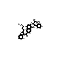 CCCCc1oc2ccccc2c1C(=O)c1ccc2c(Br)c(OC(Cc3ccccc3)C(=O)O)ccc2c1